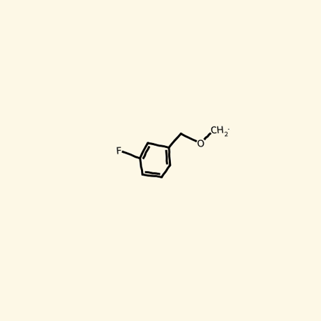 [CH2]OCc1cccc(F)c1